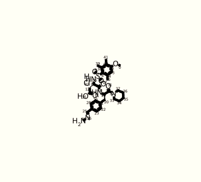 COc1cc(C)c(S(=O)(=O)N[C@@H](CC(=O)O)C(=O)N[C@H](Cc2ccc(C=NN)cc2)C(=O)N2CCCCC2)c(C)c1C.Cl